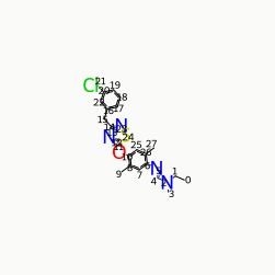 CCN(C)C=Nc1cc(C)c(Oc2nc(Cc3cccc(Cl)c3)ns2)cc1C